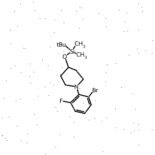 CC(C)(C)[Si](C)(C)OC1CCN(c2c(F)cccc2Br)CC1